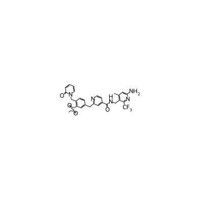 Cc1cc(N)nc(C(F)(F)F)c1CNC(=O)c1ccnc(Cc2ccc(Cn3ccccc3=O)c(S(C)(=O)=O)c2)c1